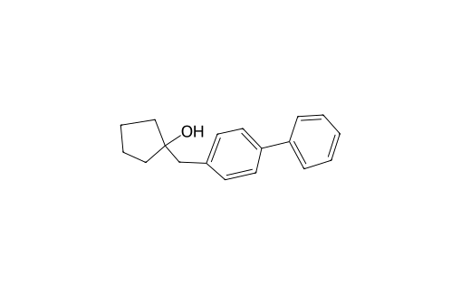 OC1(Cc2ccc(-c3ccccc3)cc2)CCCC1